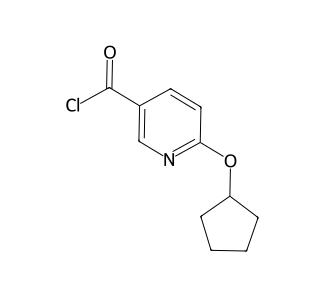 O=C(Cl)c1ccc(OC2CCCC2)nc1